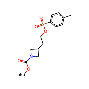 CCCCOC(=O)N1CC(CCOS(=O)(=O)c2ccc(C)cc2)C1